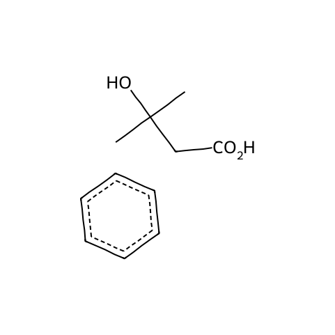 CC(C)(O)CC(=O)O.c1ccccc1